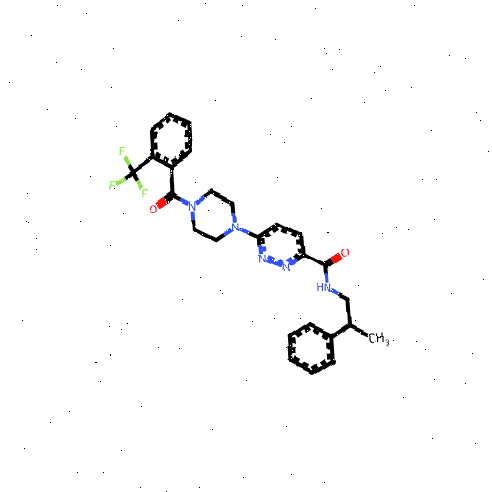 CC(CNC(=O)c1ccc(N2CCN(C(=O)c3ccccc3C(F)(F)F)CC2)nn1)c1ccccc1